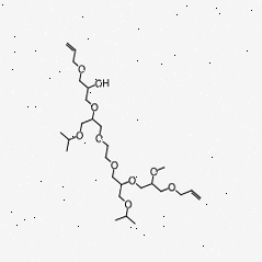 C=CCOCC(O)COC(COCCOCC(COC(C)C)OCC(COCC=C)OC)COC(C)C